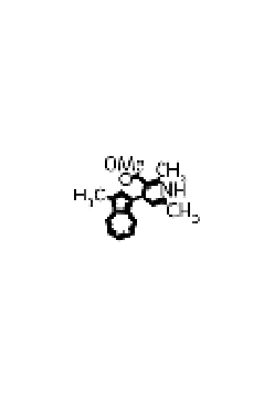 COC(=O)C1=C(C)NC(C)=CC1c1cc(C)c2cccccc1-2